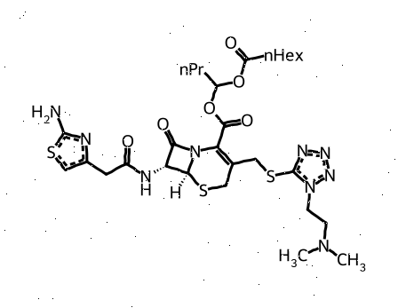 CCCCCCC(=O)OC(CCC)OC(=O)C1=C(CSc2nnnn2CCN(C)C)CS[C@H]2[C@H](NC(=O)Cc3csc(N)n3)C(=O)N12